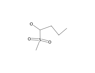 CCCC([O])S(C)(=O)=O